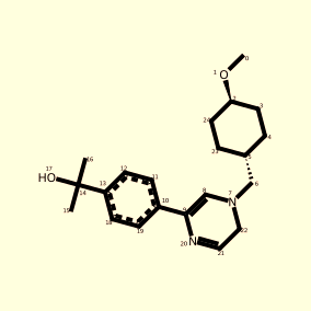 CO[C@H]1CC[C@H](CN2C=C(c3ccc(C(C)(C)O)cc3)N=CC2)CC1